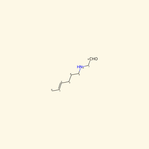 CC=CCCCNCC=O